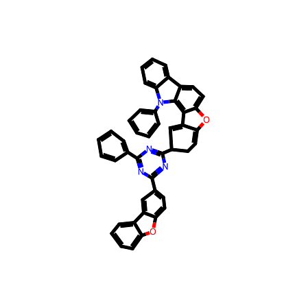 C1=c2oc3ccc4c5ccccc5n(-c5ccccc5)c4c3c2=CC(c2nc(-c3ccccc3)nc(-c3ccc4oc5ccccc5c4c3)n2)C1